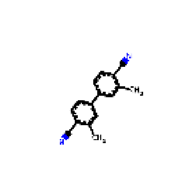 Cc1cc(-c2ccc(C#N)c(C)c2)ccc1C#N